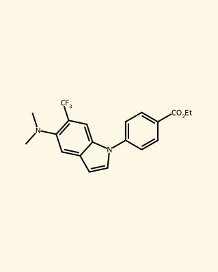 CCOC(=O)c1ccc(-n2ccc3cc(N(C)C)c(C(F)(F)F)cc32)cc1